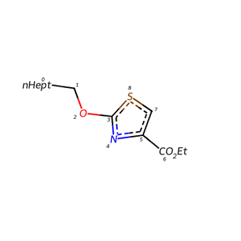 CCCCCCCCOc1nc(C(=O)OCC)cs1